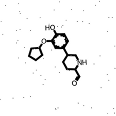 O=CC1CCC(c2ccc(O)c(OC3CCCC3)c2)CN1